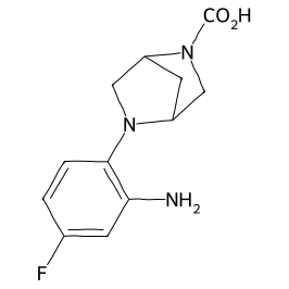 Nc1cc(F)ccc1N1CC2CC1CN2C(=O)O